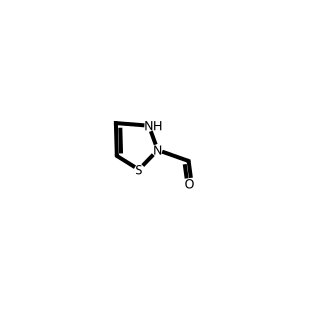 O=CN1NC=CS1